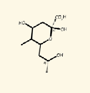 CC1C(O)C[C@](O)(C(=O)O)OC1C[C@@H](C)O